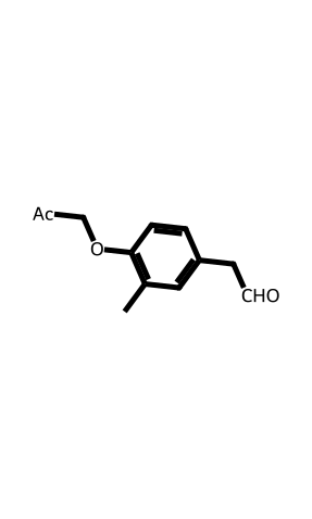 CC(=O)COc1ccc(CC=O)cc1C